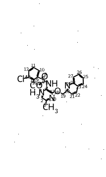 Cc1cnc(NS(=O)(=O)c2cccc(Cl)c2C)c(OCc2ccc3ccccc3n2)n1